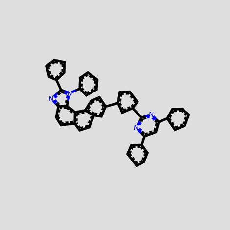 c1ccc(-c2cc(-c3ccccc3)nc(-c3cccc(-c4ccc5c(ccc6ccc7nc(-c8ccccc8)n(-c8ccccc8)c7c65)c4)c3)n2)cc1